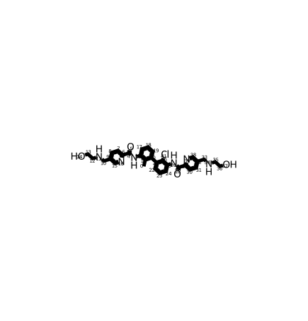 Cc1c(NC(=O)c2ccc(CNCCO)cn2)cccc1-c1cccc(NC(=O)c2ccc(CNCCO)cn2)c1Cl